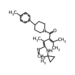 C=N/C(NC1(C)CC1)=C(\C)C(C(=O)N1CCC(c2ccc(C)cc2)CC1)=C(C)C